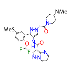 CNC1CCN(C(=O)Cn2cc(NC(=O)c3cnn4cccnc34)c(-c3cc(SC)ccc3OC(F)F)n2)CC1